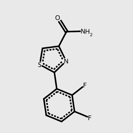 NC(=O)c1csc(-c2cccc(F)c2F)n1